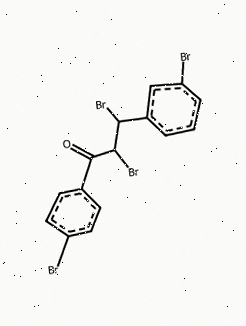 O=C(c1ccc(Br)cc1)C(Br)C(Br)c1cccc(Br)c1